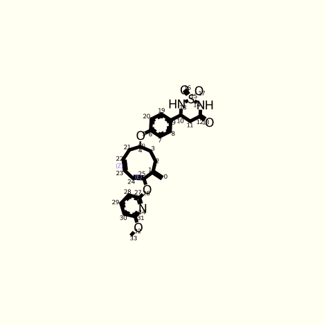 C=C1CC[C@@H](Oc2ccc(C3CC(=O)NS(=O)(=O)N3)cc2)C/C=C\C=C/1Oc1cccc(OC)n1